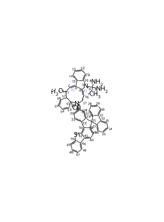 C=C1/C=c2\c(n(C(C)(N)N)c3ccccc23)=C/CN(c2ccc3c(c2)C2(c4ccccc4-c4ccccc42)c2ccc4c(sc5ccccc54)c2-3)C2(C)C=CC=CC12